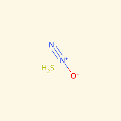 N#[N+][O-].S